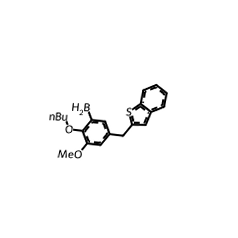 Bc1cc(Cc2cc3ccccc3s2)cc(OC)c1OCCCC